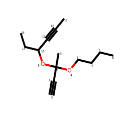 [C]#CC(C)(OCCCC)OC(C#CC)CC